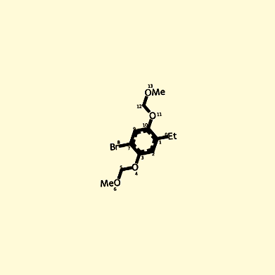 CCc1cc(OCOC)c(Br)cc1OCOC